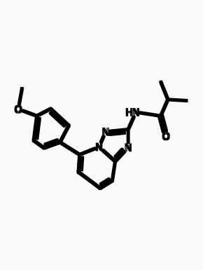 COc1ccc(-c2cccc3nc(NC(=O)C(C)C)nn23)cc1